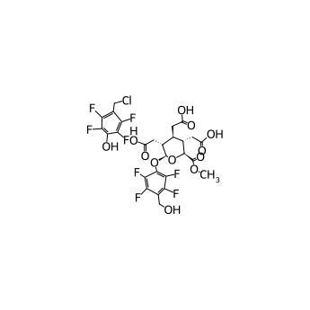 COC(=O)[C@H]1O[C@@H](Oc2c(F)c(F)c(CO)c(F)c2F)[C@H](CC(=O)O)[C@@H](CC(=O)O)[C@@H]1CC(=O)O.Oc1c(F)c(F)c(CCl)c(F)c1F